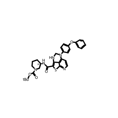 CC(C)(C)OC(=O)N1CCC[C@@H](NC(=O)c2sc3nccc4c3c2NCN4c2ccc(Oc3ccccc3)cc2)C1